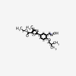 CCOC(=O)c1sc(-c2ccc(OCC(C)C)c(/C=N/O)c2)nc1C